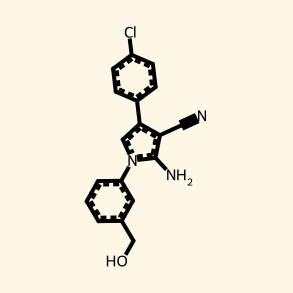 N#Cc1c(-c2ccc(Cl)cc2)cn(-c2cccc(CO)c2)c1N